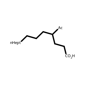 CCCCCCCCCCC(CCC(=O)O)C(C)=O